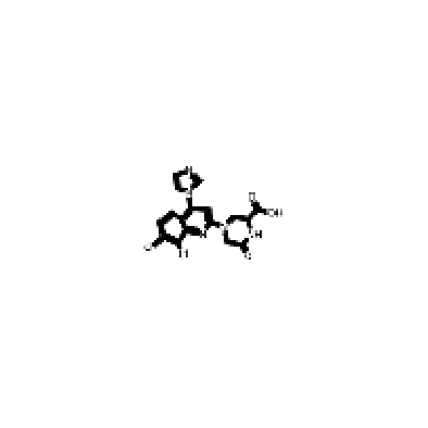 O=C1CN(c2cc(-n3ccnc3)c3ccc(Cl)c(Cl)c3n2)CC(C(=O)O)N1